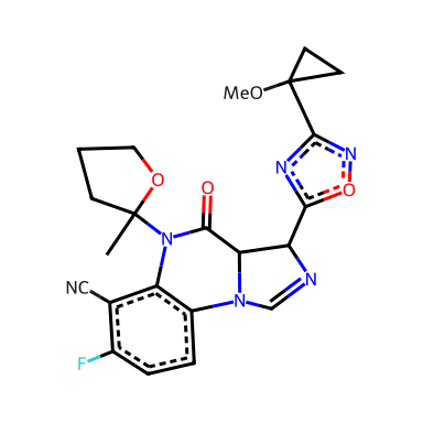 COC1(c2noc(C3N=CN4c5ccc(F)c(C#N)c5N(C5(C)CCCO5)C(=O)C34)n2)CC1